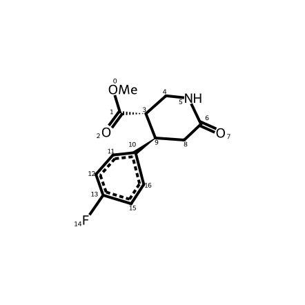 COC(=O)[C@@H]1CNC(=O)C[C@H]1c1ccc(F)cc1